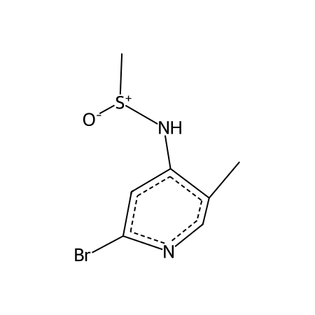 Cc1cnc(Br)cc1N[S+](C)[O-]